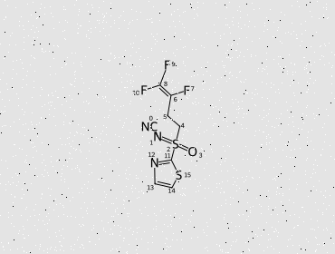 N#CN=S(=O)(CCC(F)=C(F)F)c1nccs1